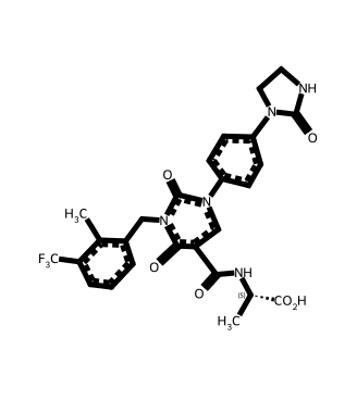 Cc1c(Cn2c(=O)c(C(=O)N[C@@H](C)C(=O)O)cn(-c3ccc(N4CCNC4=O)cc3)c2=O)cccc1C(F)(F)F